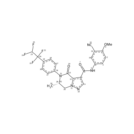 COc1ccc(NC(=O)c2cnn3c2C(=O)N(c2ccc(C(F)(F)C(F)F)cc2)[C@@H](C)C3)cc1C#N